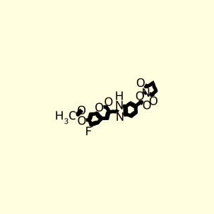 CC(=O)Oc1cc2oc(=O)c(-c3nc4ccc(C(=O)ON5C(=O)CCC5=O)cc4[nH]3)cc2cc1F